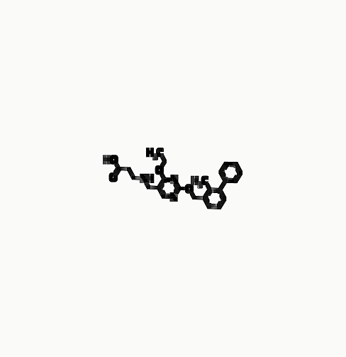 CCOc1nc(OCc2cccc(-c3ccccc3)c2C)ncc1CNCCC(=O)O